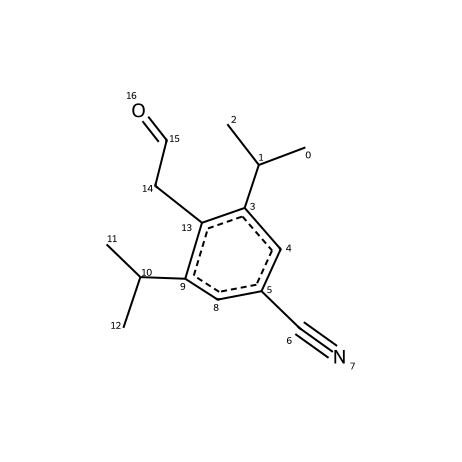 CC(C)c1cc(C#N)cc(C(C)C)c1CC=O